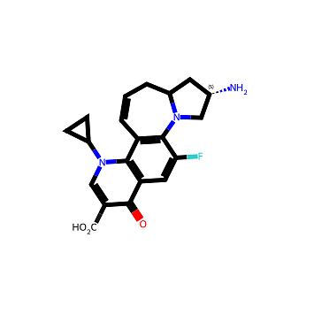 N[C@H]1CC2CC=Cc3c(c(F)cc4c(=O)c(C(=O)O)cn(C5CC5)c34)N2C1